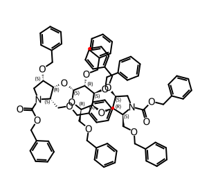 O=C(OCc1ccccc1)N1C[C@H](OCc2ccccc2)[C@H](O[C@H]2O[C@H](COCc3ccccc3)[C@H](O[C@H]3[C@@H](OCc4ccccc4)CN(C(=O)OCc4ccccc4)[C@H]3COCc3ccccc3)[C@H](OCc3ccccc3)[C@H]2OCc2ccccc2)[C@@H]1COCc1ccccc1